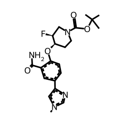 Cn1cnc(-c2ccc(O[C@@H]3CCN(C(=O)OC(C)(C)C)C[C@@H]3F)c(C(N)=O)c2)c1